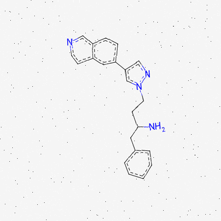 NC(CCn1cc(-c2ccc3cnccc3c2)cn1)Cc1ccccc1